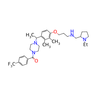 CCN1CCCC1CNCCCOc1ccc(C(C)N2CCN(C(=O)c3ccc(C(F)(F)F)cc3)CC2)c(C)c1C